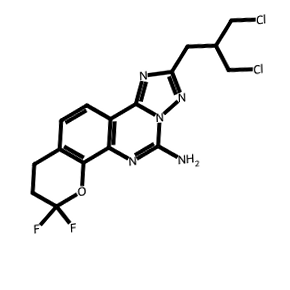 Nc1nc2c3c(ccc2c2nc(CC(CCl)CCl)nn12)CCC(F)(F)O3